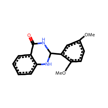 COc1ccc(OC)c(C2NC(=O)c3ccccc3N2)c1